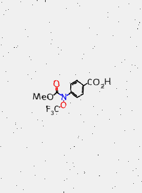 COC(=O)N(OC(F)(F)F)c1ccc(C(=O)O)cc1